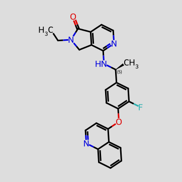 CCN1Cc2c(ccnc2N[C@@H](C)c2ccc(Oc3ccnc4ccccc34)c(F)c2)C1=O